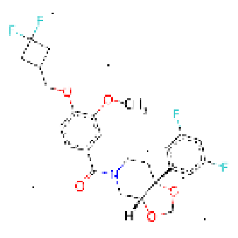 COc1cc(C(=O)N2CC[C@]3(c4cc(F)cc(F)c4)OCO[C@@H]3C2)ccc1OCC1CC(F)(F)C1